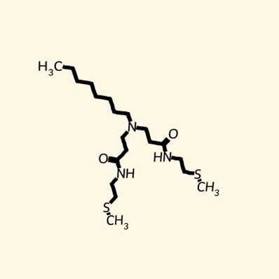 CCCCCCCCN(CCC(=O)NCCSC)CCC(=O)NCCSC